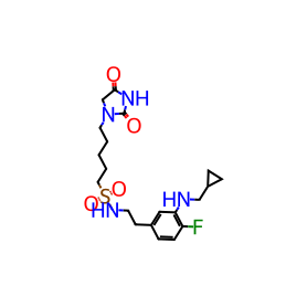 O=C1CN(CCCCCS(=O)(=O)NCCc2ccc(F)c(NCC3CC3)c2)C(=O)N1